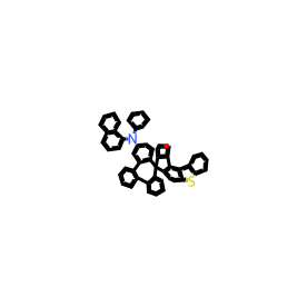 c1ccc(N(c2ccc3c(c2)-c2ccccc2-c2ccccc2C32c3ccccc3-c3c2ccc2sc4ccccc4c32)c2cccc3ccccc23)cc1